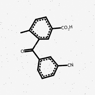 Cc1ccc(C(=O)O)cc1C(=O)c1cccc(C#N)c1